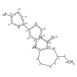 CCC1CCCCc2nc3cc(-c4ccc(F)cc4)ccn3c(=O)c2C1